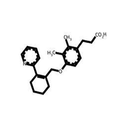 Cc1c(CCC(=O)O)ccc(OCC2=C(c3ccccn3)CCCC2)c1C